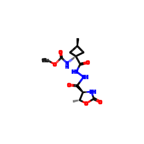 C[C@H]1OC(=O)N[C@@H]1C(=O)NNC(=O)[C@]1(NC(=O)OC(C)(C)C)C[C@H](C)C1